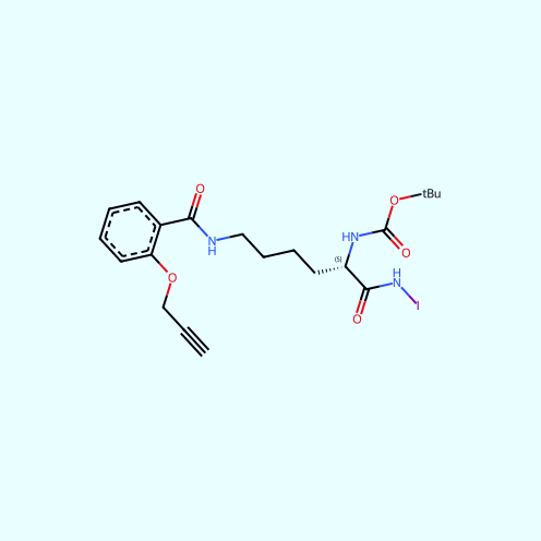 C#CCOc1ccccc1C(=O)NCCCC[C@H](NC(=O)OC(C)(C)C)C(=O)NI